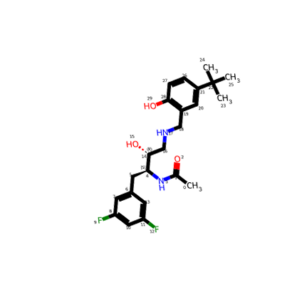 CC(=O)N[C@@H](Cc1cc(F)cc(F)c1)[C@H](O)CNCc1cc(C(C)(C)C)ccc1O